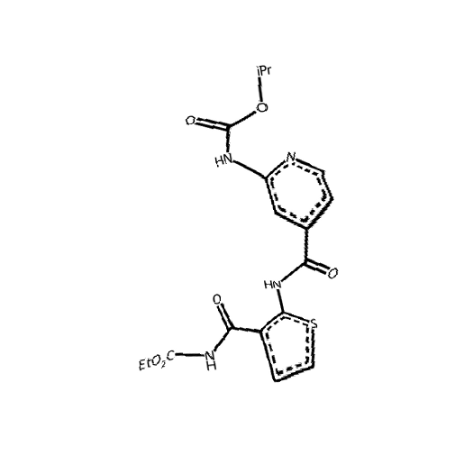 CCOC(=O)NC(=O)c1ccsc1NC(=O)c1ccnc(NC(=O)OC(C)C)c1